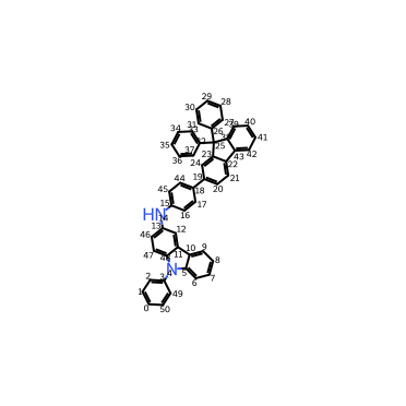 c1ccc(-n2c3ccccc3c3cc(Nc4ccc(-c5ccc6c(c5)C(c5ccccc5)(c5ccccc5)c5ccccc5-6)cc4)ccc32)cc1